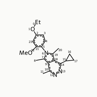 CCOc1ccc(-n2c(C)c3c(C)nnc(C4CC4)c3c2C)c(OC)c1